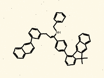 CC1(C)c2cc3ccccc3cc2-c2c(-c3ccc(/C(=C/Cc4cccc(-c5ccc6ccccc6c5)c4)NCc4ccccc4)cc3)cccc21